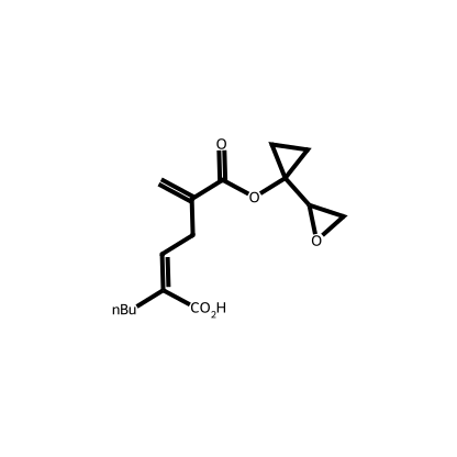 C=C(CC=C(CCCC)C(=O)O)C(=O)OC1(C2CO2)CC1